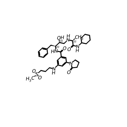 C[C@H](NC[C@H](O)[C@H](Cc1ccccc1)NC(=O)c1cc(NCCCS(C)(=O)=O)cc(N2CCCC2=O)c1)C(=O)NC1CCCCC1